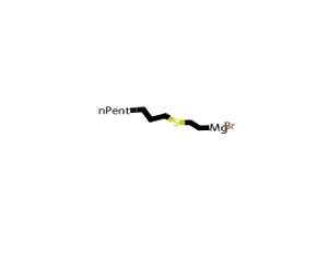 CCCCCCCCSC[CH2][Mg][Br]